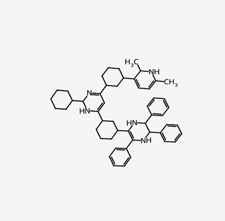 CC1=CC=C(C2CCCC(C3=NC(C4CCCCC4)NC(C4CCCC(C5=C(c6ccccc6)NC(c6ccccc6)C(c6ccccc6)N5)C4)=C3)C2)C(C)N1